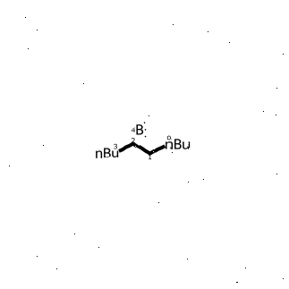 CCCCCCCCCC.[B]